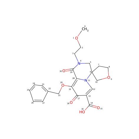 COCCN1CC2(CCOC2)n2cc(C(=O)O)c(=O)c(OCc3ccccc3)c2C1=O